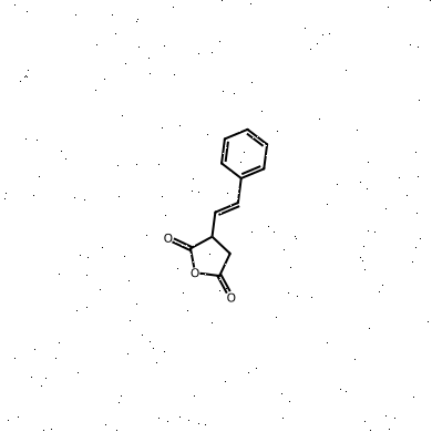 O=C1CC(C=Cc2ccccc2)C(=O)O1